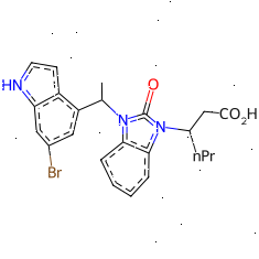 CCCC(CC(=O)O)n1c(=O)n(C(C)c2cc(Br)cc3[nH]ccc23)c2ccccc21